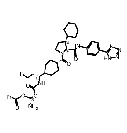 CC(C)C(=O)O[C@@H](N)OC(=O)N[C@H](CCF)[C@H]1CC[C@H](C(=O)N2CC[C@@H](C3CCCCC3)[C@H]2C(=O)Nc2ccc(-c3nnn[nH]3)cc2)CC1